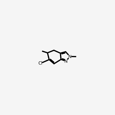 CC1Cc2cn(C)nc2C=C1Cl